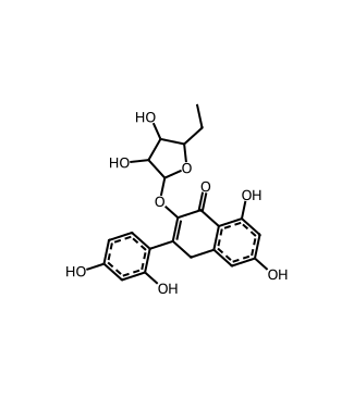 CCC1OC(OC2=C(c3ccc(O)cc3O)Cc3cc(O)cc(O)c3C2=O)C(O)C1O